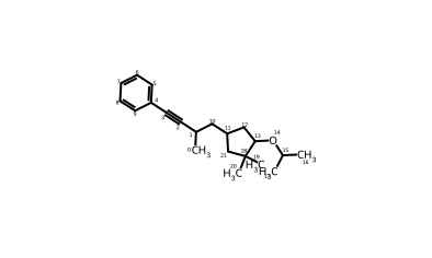 CC(C#Cc1ccccc1)CC1CC(OC(C)C)C(C)(C)C1